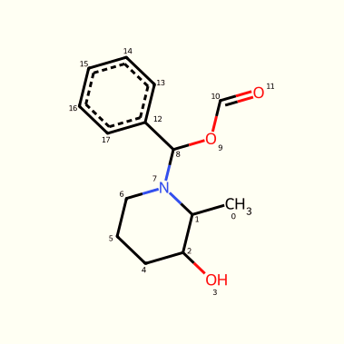 CC1C(O)CCCN1C(OC=O)c1ccccc1